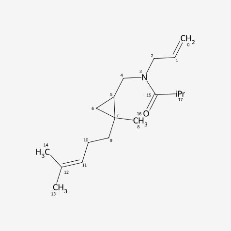 C=CCN(CC1CC1(C)CCC=C(C)C)C(=O)C(C)C